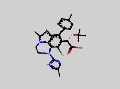 Cc1ccc(-c2c([C@H](OC(C)(C)C)C(=O)O)c(Cl)c3c4c2cc(C)n4CCN3c2ncc(C)cn2)cc1